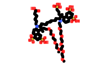 COCCOCCOCCOCCOCC[N+]1=C(/C=C/C=C/C=C/C=C2/N(CCCCCC(=O)O)c3ccc4c(S(=O)(=O)[O-])cc(S(=O)(=O)O)cc4c3C2(C)CCOCCOCCOCCOC)C(C)(CCCS(=O)(=O)O)c2c1ccc1c(S(=O)(=O)O)cc(S(=O)(=O)O)cc21